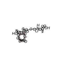 CC[C@H]1OC(=O)[C@H](C)[C@@H](O[C@H]2C[C@@](C)(OC)[C@@H](OC(=O)CCOCCOCCNc3cc4c(=O)c(C(=O)O)cn(C5CC5)c4cc3Cl)[C@H](C)O2)[C@H](C)[C@@H](O[C@@H]2O[C@H](C)C[C@H](N(C)C)[C@H]2O)[C@@]2(C)C[C@@H](CO2)C(=O)[C@H](C)[C@H]2NC(=O)C[C@@]21C